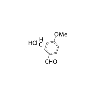 COc1ccc(C=O)cc1.Cl.Cl